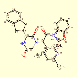 CC[C@H](C)[C@@H]1C(=O)N[C@H](C2Cc3ccccc3C2)C(=O)N1C(C(=O)n1c(=O)oc2ccccc21)c1ccc(C)nc1C